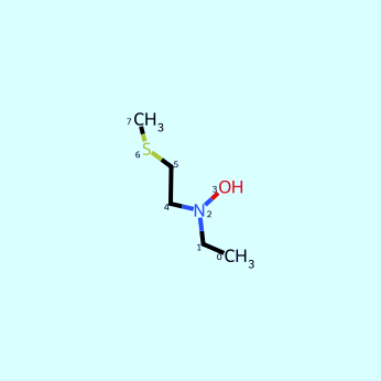 CCN(O)CCSC